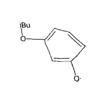 CCC(C)Oc1cccc([O])c1